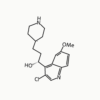 COc1ccc2ncc(Cl)c([C@H](O)CC[C]3CCNCC3)c2c1